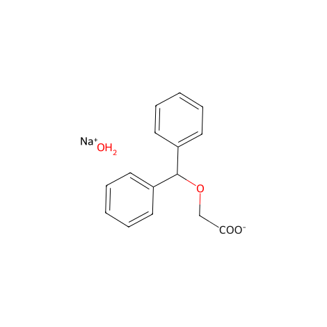 O.O=C([O-])COC(c1ccccc1)c1ccccc1.[Na+]